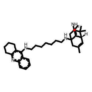 C/C=C1\[C@H]2C=C(C)CC1(NCCCCCCCNc1c3c(nc4ccccc14)CCCC3)CC(N)C2(C)C